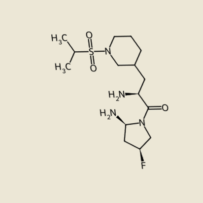 CC(C)S(=O)(=O)N1CCCC(C[C@H](N)C(=O)N2C[C@@H](F)C[C@H]2N)C1